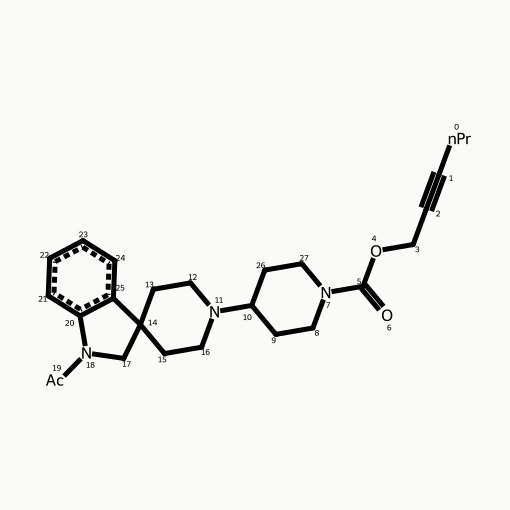 CCCC#CCOC(=O)N1CCC(N2CCC3(CC2)CN(C(C)=O)c2ccccc23)CC1